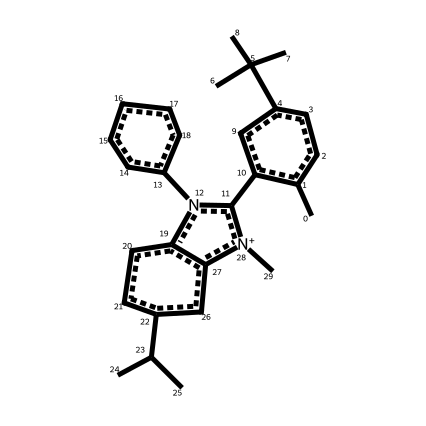 Cc1ccc(C(C)(C)C)cc1-c1n(-c2ccccc2)c2ccc(C(C)C)cc2[n+]1C